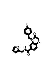 O=C(NCc1ccco1)c1ccc2c(c1)N(Cc1ccc(F)cc1)C(=O)CS2